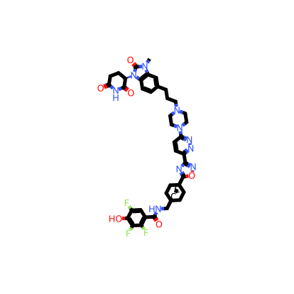 Cn1c(=O)n([C@@H]2CCC(=O)NC2=O)c2ccc(CCCN3CCN(c4ccc(-c5noc(C67CCC(CNC(=O)c8cc(F)c(O)c(F)c8F)(CC6)CC7)n5)nn4)CC3)cc21